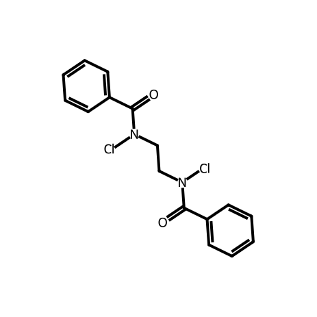 O=C(c1ccccc1)N(Cl)CCN(Cl)C(=O)c1ccccc1